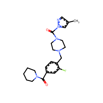 Cc1cnn(C(=O)N2CCN(Cc3ccc(C(=O)N4CCCCC4)cc3F)CC2)c1